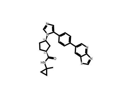 CC1(NC(=O)[C@H]2CC[C@@H](n3cncc3-c3ccc(-c4cnc5ncsc5c4)cc3)C2)CC1